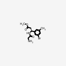 COC(=O)C[C@H](NC(=O)CN)c1cc(C)cc(Br)c1